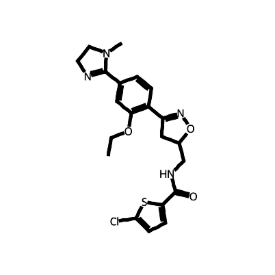 CCOc1cc(C2=NCCN2C)ccc1C1=NOC(CNC(=O)c2ccc(Cl)s2)C1